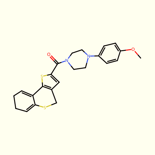 COc1ccc(N2CCN(C(=O)c3cc4c(s3)C3=CCCC=C3SC4)CC2)cc1